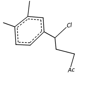 CC(=O)CCC(Cl)c1ccc(C)c(C)c1